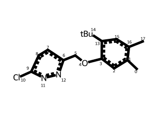 Cc1cc(OCc2ccc(Cl)nn2)c(C(C)(C)C)cc1C